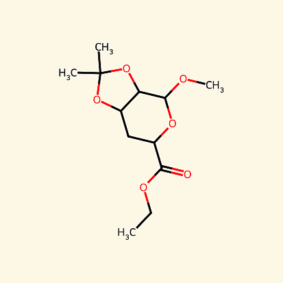 CCOC(=O)C1CC2OC(C)(C)OC2C(OC)O1